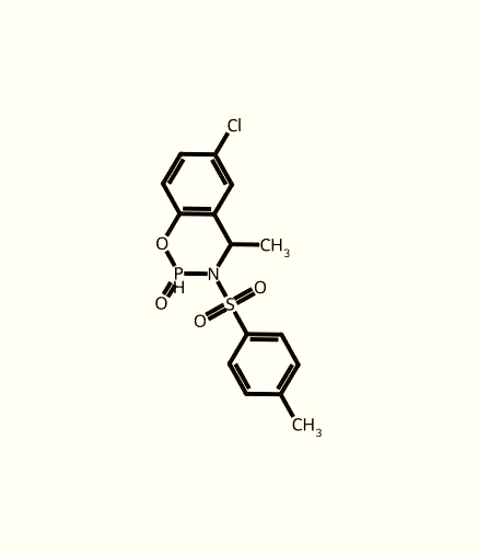 Cc1ccc(S(=O)(=O)N2C(C)c3cc(Cl)ccc3O[PH]2=O)cc1